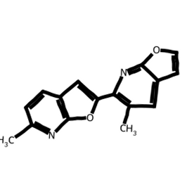 Cc1ccc2cc(-c3nc4occc4cc3C)oc2n1